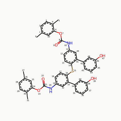 Cc1ccc(C)c(OC(=O)Nc2ccc(Sc3ccc(NC(=O)Oc4cc(C)ccc4C)cc3-c3cccc(O)c3)c(-c3cccc(O)c3)c2)c1